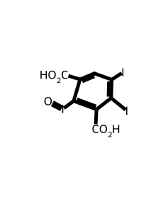 O=Ic1c(C(=O)O)cc(I)c(I)c1C(=O)O